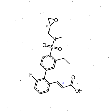 CCc1cc(-c2c(F)cccc2/C=C/C(=O)O)ccc1S(=O)(=O)N(C)C[C@H]1CO1